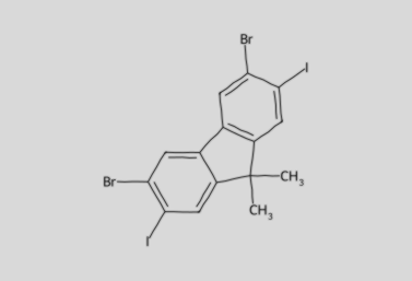 CC1(C)c2cc(I)c(Br)cc2-c2cc(Br)c(I)cc21